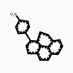 O=[N+]([O-])c1ccc(-c2ccc3ccc4cccc5ccc2c3c45)cc1